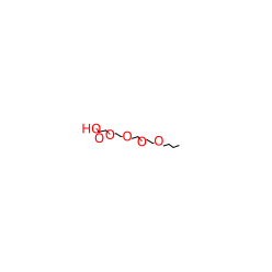 CCCCOCCOCCOCCOCC(=O)O